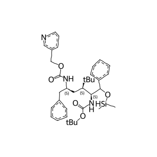 C[SiH](C)OC(c1ccccc1)[C@@H](NC(=O)OC(C)(C)C)[C@@H](C[C@@H](Cc1ccccc1)NC(=O)OCc1cccnc1)C(C)(C)C